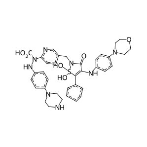 O=C(O)N(Nc1ccc(N2CCNCC2)cc1)c1ccc(CN2C(=O)C(Nc3ccc(N4CCOCC4)cc3)=C(c3ccccc3)S2(O)O)cn1